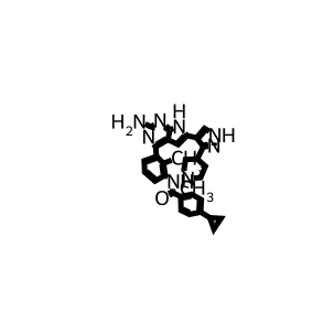 Cc1c(NC(=O)c2ccc(C3CC3)cc2)cccc1-c1nc(N)nc2[nH]c(-c3c[nH]nc3C3CCN(C)CC3)cc12